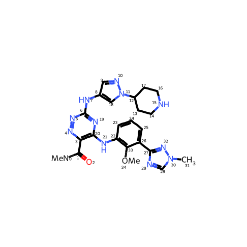 CNC(=O)c1nnc(Nc2cnn(C3CCNCC3)c2)nc1Nc1cccc(-c2ncn(C)n2)c1OC